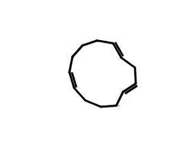 [CH]1/C=C/C/C=C/CCC/C=C\CC1